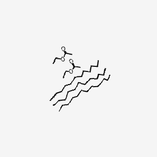 CCCCCCCCCCCC.CCCCCCCCCCCC.CCCCCCCCCCCC.CCOC(C)=O.CCOC(C)=O